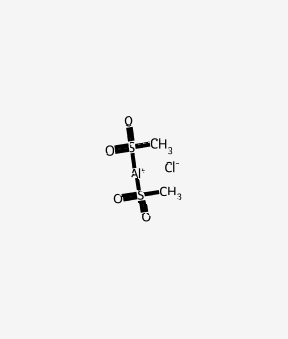 C[S](=O)(=O)[Al+][S](C)(=O)=O.[Cl-]